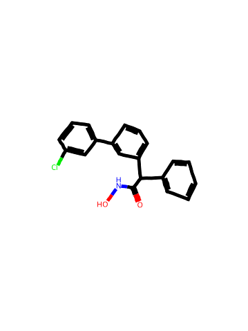 O=C(NO)C(c1ccccc1)c1cccc(-c2cccc(Cl)c2)c1